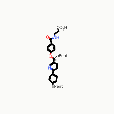 CCCCCc1ccc(-c2ccc([C@@H](CCCCC)Oc3ccc(C(=O)NCCC(=O)O)cc3)cn2)cc1